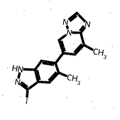 Cc1cc2c(I)n[nH]c2cc1-c1cc(C)c2ncnn2c1